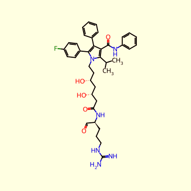 CC(C)c1c(C(=O)Nc2ccccc2)c(-c2ccccc2)c(-c2ccc(F)cc2)n1CC[C@@H](O)C[C@@H](O)CC(=O)N[C@H](C=O)CCCNC(=N)N